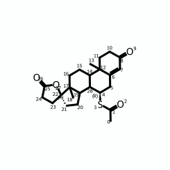 CC(=O)S[C@@H]1CC2=CC(=O)CCC2(C)C2CCC3(C)C(CC[C@@]34CCC(=O)O4)C21